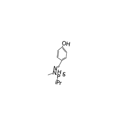 CC(C)[PH](=S)N(C)N=Cc1ccc(O)cc1